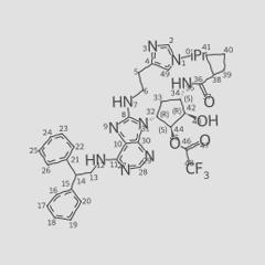 CC(C)n1cnc(CCNc2nc3c(NCC(c4ccccc4)c4ccccc4)ncnc3n2[C@@H]2C[C@H](NC(=O)C3CCC3)[C@@H](O)[C@H]2OC(=O)C(F)(F)F)c1